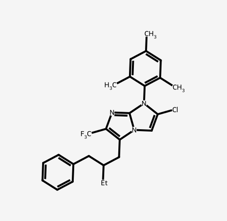 [CH2]CC(Cc1ccccc1)Cc1c(C(F)(F)F)nc2n(-c3c(C)cc(C)cc3C)c(Cl)cn12